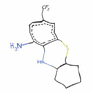 Nc1cc(C(F)(F)F)cc2c1NC1CCCCC1S2